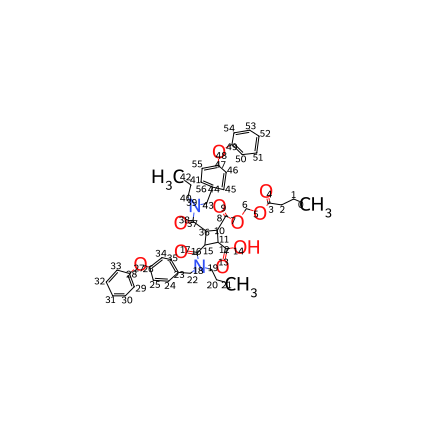 CCCC(=O)OCOC(=O)C1C(C(=O)O)C(C(=O)N(CCC)Cc2ccc(Oc3ccccc3)cc2)C1C(=O)N(CCC)Cc1ccc(Oc2ccccc2)cc1